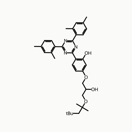 Cc1ccc(-c2nc(-c3ccc(C)cc3C)nc(-c3ccc(OCC(O)COC(C)(C)CC(C)(C)C)cc3O)n2)c(C)c1